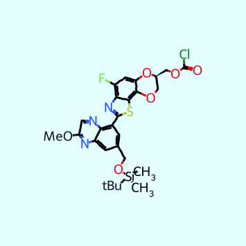 COc1cnc2c(-c3nc4c(F)cc5c(c4s3)OC[C@H](COC(=O)Cl)O5)cc(CO[Si](C)(C)C(C)(C)C)cc2n1